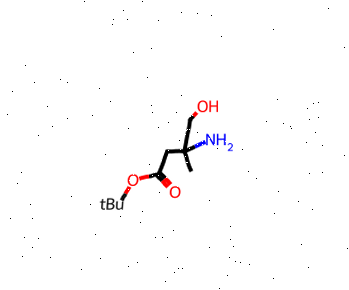 CC(N)(CO)CC(=O)OC(C)(C)C